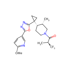 COc1ccc(-c2nnc(C3([C@H]4CCN(C(=O)[C@H](C)C(F)(F)F)C[C@H]4C)CC3)o2)cn1